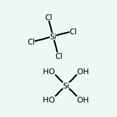 Cl[Si](Cl)(Cl)Cl.O[Si](O)(O)O